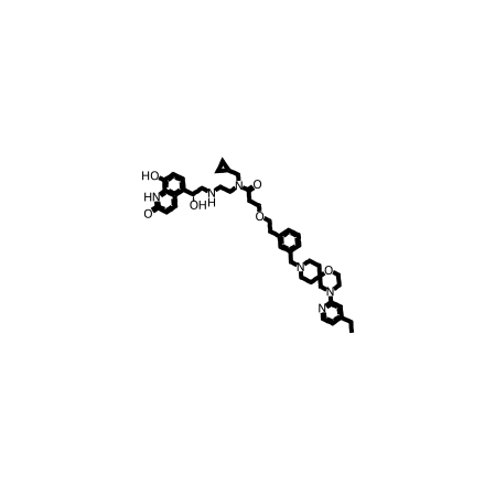 CCc1ccnc(N2CCOC3(CCN(Cc4cccc(CCOCCC(=O)N(CCNC[C@H](O)c5ccc(O)c6[nH]c(=O)ccc56)CC5CC5)c4)CC3)C2)c1